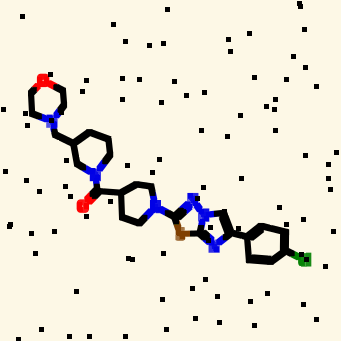 O=C(C1CCN(c2nn3cc(-c4ccc(Cl)cc4)nc3s2)CC1)N1CCCC(CN2CCOCC2)C1